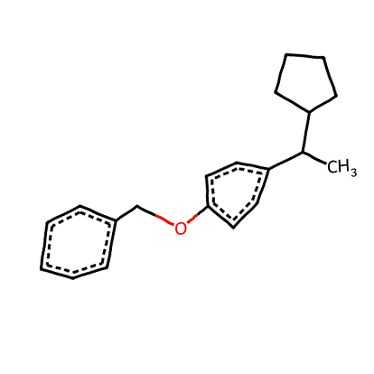 CC(c1ccc(OCc2ccccc2)cc1)C1CCCC1